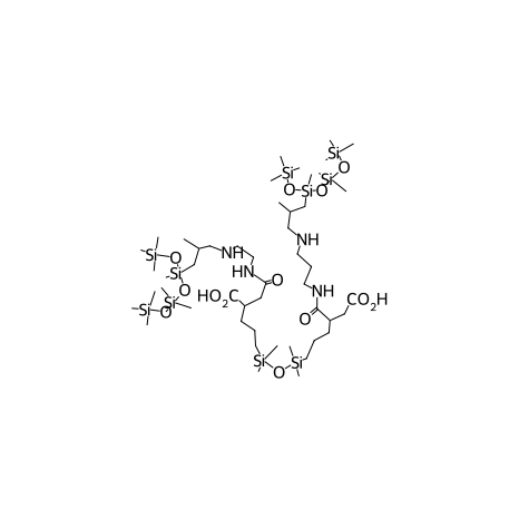 CC(CNCCCNC(=O)C(CCC[Si](C)(C)O[Si](C)(C)CCCC(CC(=O)NCCNCC(C)C[Si](C)(O[Si](C)(C)C)O[Si](C)(C)O[Si](C)(C)C)C(=O)O)CC(=O)O)C[Si](C)(O[Si](C)(C)C)O[Si](C)(C)O[Si](C)(C)C